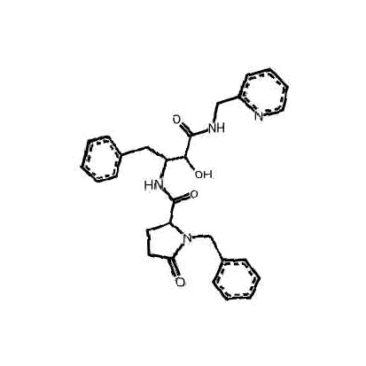 O=C(NCc1ccccn1)C(O)C(Cc1ccccc1)NC(=O)C1CCC(=O)N1Cc1ccccc1